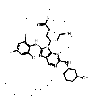 CCC[C@@H](CCC(N)=O)n1c(Nc2c(F)cc(F)cc2Cl)nc2cnc(N[C@@H]3CCC[C@H](O)C3)nc21